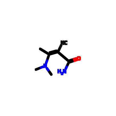 [C-]#[N+]/C(C(N)=O)=C(\C)N(C)C